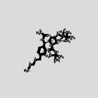 COCOCc1ccc(C(OC(C)=O)[C@@H]2C[C@@H](O[Si](C)(C)C(C)(C)C)CN2C(=O)OC(C)(C)C)cc1